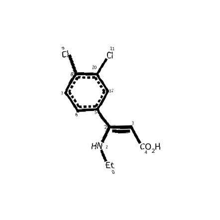 CCN/C(=C\C(=O)O)c1ccc(Cl)c(Cl)c1